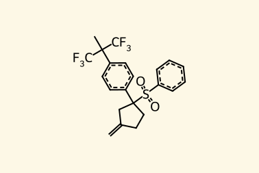 C=C1CCC(c2ccc(C(C)(C(F)(F)F)C(F)(F)F)cc2)(S(=O)(=O)c2ccccc2)C1